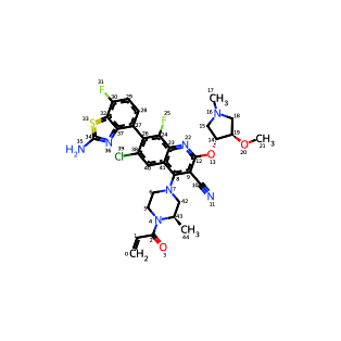 C=CC(=O)N1CCN(c2c(C#N)c(O[C@@H]3CN(C)C[C@H]3OC)nc3c(F)c(-c4ccc(F)c5sc(N)nc45)c(Cl)cc23)C[C@H]1C